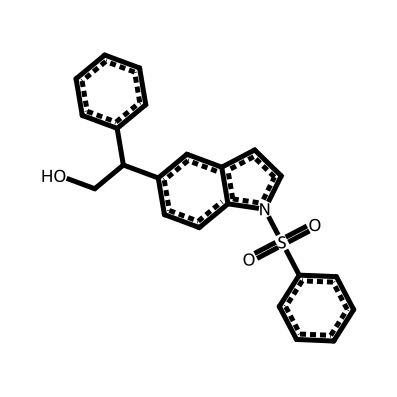 O=S(=O)(c1ccccc1)n1ccc2cc(C(CO)c3ccccc3)ccc21